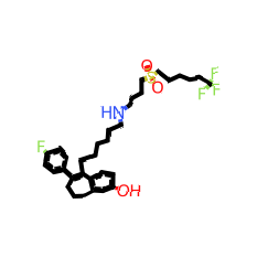 O=S(=O)(CCCCCC(F)(F)F)CCCCNCCCCCCC1=C(c2ccc(F)cc2)CCCc2cc(O)ccc21